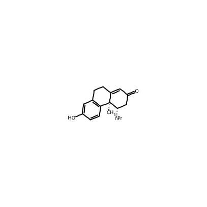 CCC[C@H]1CC(=O)C=C2CCc3cc(O)ccc3[C@@]21C